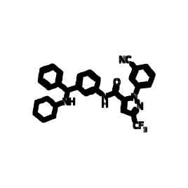 N#Cc1cccc(-n2nc(C(F)(F)F)cc2C(=O)Nc2cccc(C(NC3CCCCC3)c3ccccc3)c2)c1